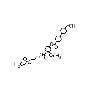 C=CC(=O)OCCCCOC(=O)c1ccc(OC(=O)C2CCC(C3CCC(CC)CC3)CC2)cc1OC